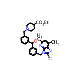 CCOC(=O)C1CCN(Cc2cccc(C(=O)c3cccc(Cn4c(CC)nc5c(C)cc(C)nc54)c3)c2)CC1